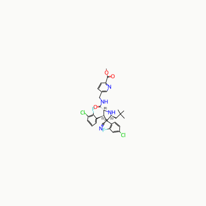 COC(=O)c1ccc(CNC(=O)[C@@H]2N[C@@H](CC(C)(C)C)[C@](C#N)(c3ccc(Cl)cc3F)[C@H]2c2cccc(Cl)c2F)cn1